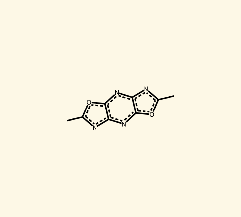 Cc1nc2nc3oc(C)nc3nc2o1